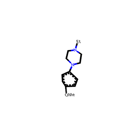 CCN1CCN(c2ccc(OC)cc2)CC1